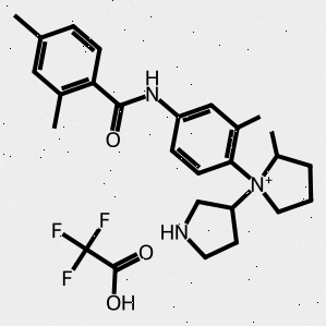 Cc1ccc(C(=O)Nc2ccc([N+]3(C4CCNC4)CCCC3C)c(C)c2)c(C)c1.O=C(O)C(F)(F)F